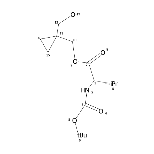 CC(C)[C@H](NC(=O)OC(C)(C)C)C(=O)OCC1(C[O])CC1